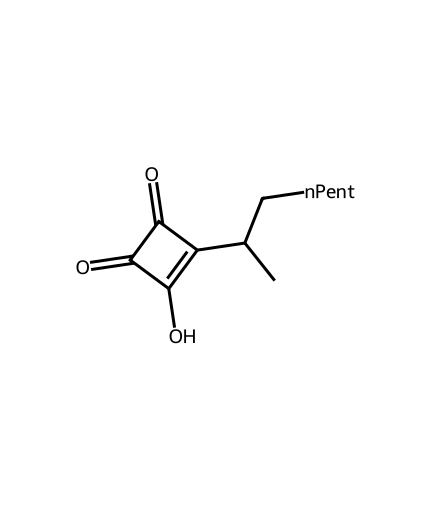 CCCCCCC(C)c1c(O)c(=O)c1=O